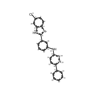 Clc1ccc2nc(-c3cccc(Nc4ccc(-c5ccccc5)nn4)c3)[nH]c2c1